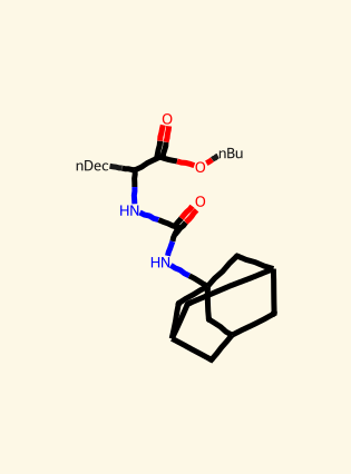 CCCCCCCCCCC(NC(=O)NC12CC3CC(CC(C3)C1)C2)C(=O)OCCCC